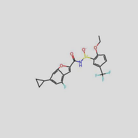 CCOc1ccc(C(F)(F)F)cc1[S+]([O-])NC(=O)c1cc2c(F)cc(C3CC3)cc2o1